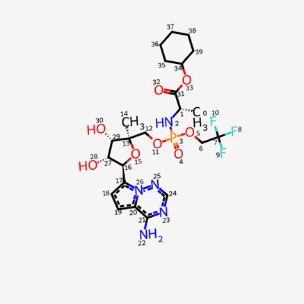 C[C@H](NP(=O)(OCC(F)(F)F)OC[C@@]1(C)O[C@@H](c2ccc3c(N)ncnn23)[C@H](O)[C@@H]1O)C(=O)OC1CCCCC1